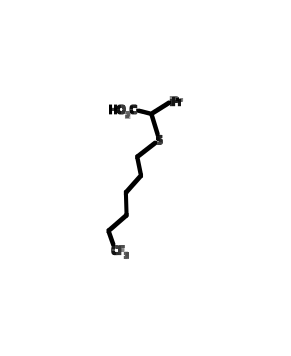 CC(C)C(SCCCCCC(F)(F)F)C(=O)O